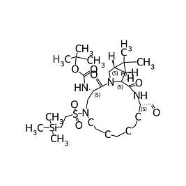 CC(C)(C)OC(=O)N[C@H]1CN(S(=O)(=O)CC[Si](C)(C)C)CCCCCCC[C@@H](C=O)NC(=O)[C@@H]2[C@@H]3[C@H](CN2C1=O)C3(C)C